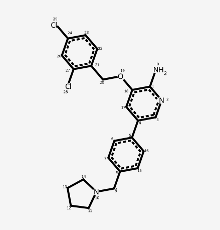 Nc1ncc(-c2ccc([CH]N3CCCC3)cc2)cc1OCc1ccc(Cl)cc1Cl